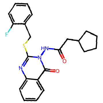 O=C(CC1CCCC1)Nn1c(SCc2ccccc2F)nc2ccccc2c1=O